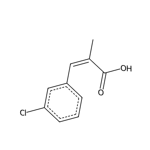 CC(=Cc1cccc(Cl)c1)C(=O)O